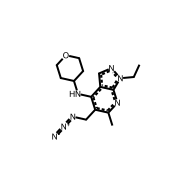 CCn1ncc2c(NC3CCOCC3)c(CN=[N+]=[N-])c(C)nc21